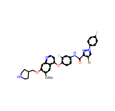 COc1cc2c(Oc3ccc(NC(=O)c4nn(-c5ccc(F)cc5)cc4Br)cc3F)ccnc2cc1OCC1CCNCC1